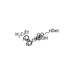 C=CCC.C=CCC.CCCCCCCCCCCCCOP(=O)(O)O.c1ccncc1.c1ccncc1